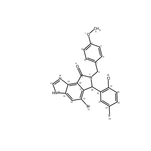 COc1ccc(CN2C(=O)c3c(c(Br)cc4[nH]cnc34)C2c2cc(F)ccc2Cl)cc1